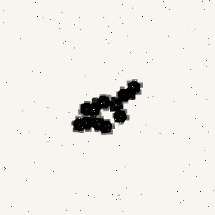 c1ccc(-c2nc(-c3ccc4c(c3)sc3ccccc34)nc(-c3ccc4oc5c6ccccc6c(-n6c7cc8ccccc8cc7c7cc8ccccc8cc76)cc5c4c3)n2)cc1